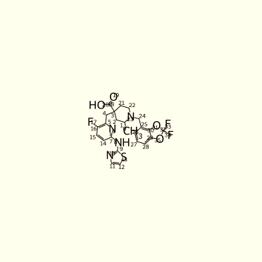 CC1CC(Cc2nc(Nc3nccs3)ccc2F)(C(=O)O)CCN1Cc1cccc2c1OC(F)(F)O2